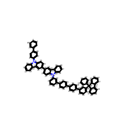 c1ccc(-c2ccc(-n3c4ccccc4c4cc(-c5ccc6c(c5)c5ccccc5n6-c5cccc(-c6ccc(-c7ccc(-c8cccc(C9(c%10ccccc%10)c%10ccccc%10-c%10ccccc%109)c8)cc7)cc6)c5)ccc43)cc2)cc1